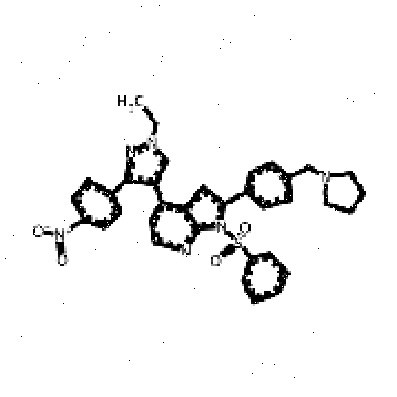 CCn1cc(-c2ccnc3c2cc(-c2ccc(CN4CCCC4)cc2)n3S(=O)(=O)c2ccccc2)c(-c2ccc([N+](=O)[O-])cc2)n1